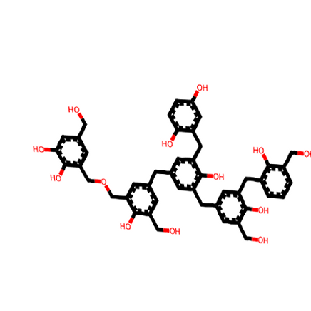 OCc1cc(O)c(O)c(COCc2cc(Cc3cc(Cc4cc(CO)c(O)c(Cc5cccc(CO)c5O)c4)c(O)c(Cc4cc(O)ccc4O)c3)cc(CO)c2O)c1